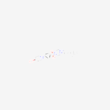 CCOC(=O)CN1CCN(S(=O)(=O)c2ccc(N3CCC(=O)CC3)cc2)CC1